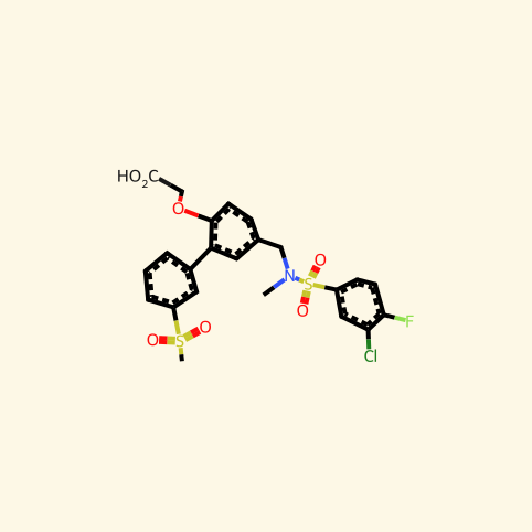 CN(Cc1ccc(OCC(=O)O)c(-c2cccc(S(C)(=O)=O)c2)c1)S(=O)(=O)c1ccc(F)c(Cl)c1